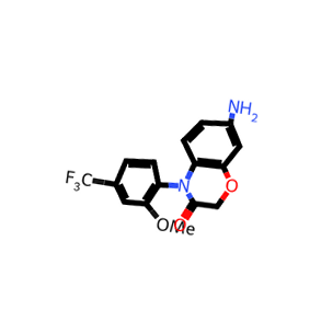 COc1cc(C(F)(F)F)ccc1N1C(=O)COc2cc(N)ccc21